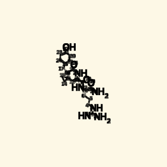 N=C(N)NCCC[C@H](NC(=O)[C@H]1CC2(CC2)[C@H](Cc2ccc(O)cc2)C(=O)N1)C(N)=O